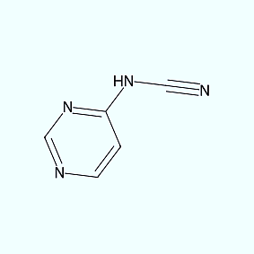 N#CNc1ccncn1